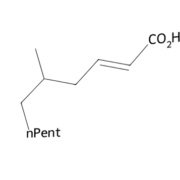 CCCCCCC(C)CC=CC(=O)O